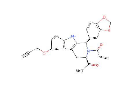 C#CCOc1ccc2[nH]c3c(c2c1)C[C@H](C(=O)OC)N(C(=O)C=C)[C@@H]3c1ccc2c(c1)OCO2